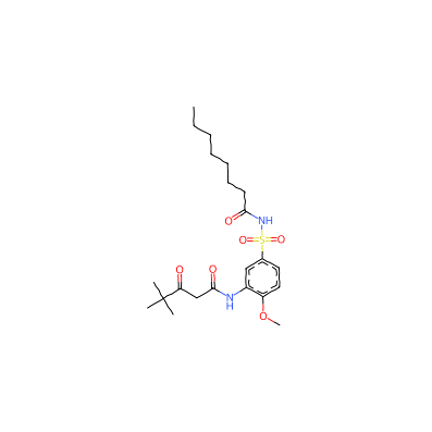 CCCCCCCC(=O)NS(=O)(=O)c1ccc(OC)c(NC(=O)CC(=O)C(C)(C)C)c1